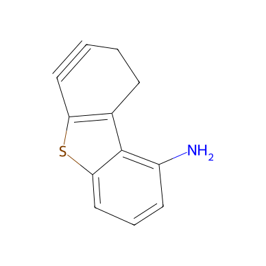 Nc1cccc2sc3c(c12)CCC#C3